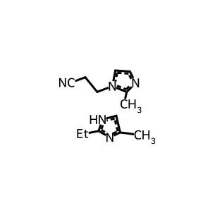 CCc1nc(C)c[nH]1.Cc1nccn1CCC#N